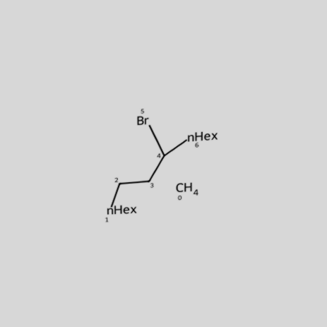 C.CCCCCCCCC(Br)CCCCCC